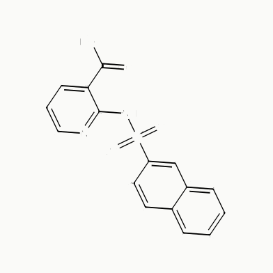 O=C(O)c1cccnc1NS(=O)(=O)c1ccc2ccccc2c1